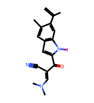 C=C(C)c1cc2c(cc1C)cc(C(=O)/C(C#N)=C/N(C)C)n2I